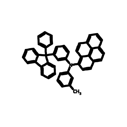 Cc1cccc(N(c2cccc(C3(c4ccccc4)c4ccccc4-c4ccccc43)c2)c2ccc3ccc4cccc5ccc2c3c45)c1